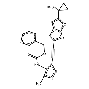 Cc1snc(C#Cc2nc3nc(C4(C(=O)O)CC4)oc3o2)c1NC(=O)OCc1ccccc1